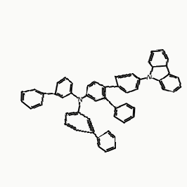 C1=CC2c3ccccc3N(c3ccc(-c4ccc(N(c5cccc(-c6ccccc6)c5)c5cccc(-c6ccccc6)c5)cc4-c4ccccc4)cc3)C2C=C1